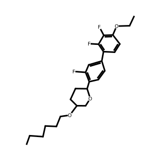 CCCCCCOC1CCC(c2ccc(-c3ccc(OCC)c(F)c3F)cc2F)OC1